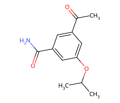 CC(=O)c1cc(OC(C)C)cc(C(N)=O)c1